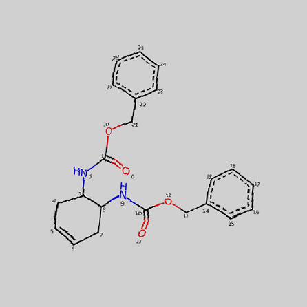 O=C(NC1CC=CCC1NC(=O)OCc1ccccc1)OCc1ccccc1